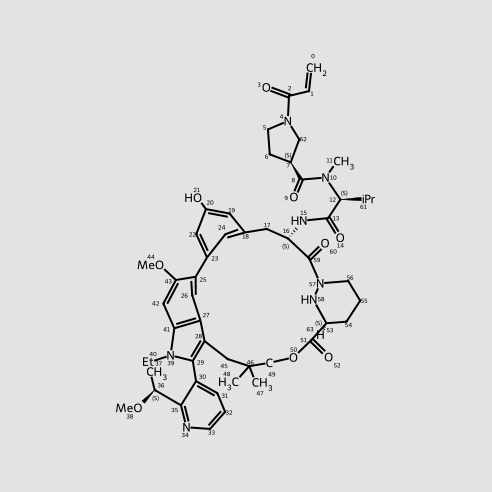 C=CC(=O)N1CC[C@H](C(=O)N(C)[C@H](C(=O)N[C@H]2Cc3cc(O)cc(c3)-c3cc4c(c(-c5cccnc5[C@H](C)OC)n(CC)c4cc3OC)CC(C)(C)COC(=O)[C@@H]3CCCN(N3)C2=O)C(C)C)C1